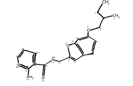 CCC(C)COc1ccc2cc(CNC(=O)c3cccnc3N)oc2c1